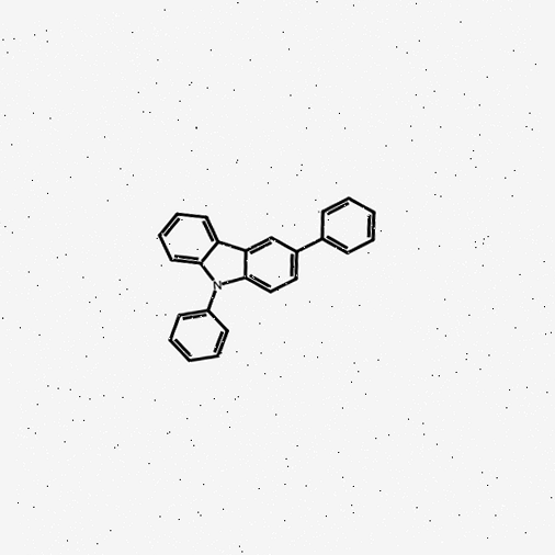 [c]1ccccc1-c1ccc2c(c1)c1ccccc1n2-c1ccccc1